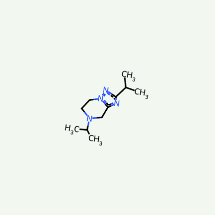 CC(C)c1nc2n(n1)CCN(C(C)C)C2